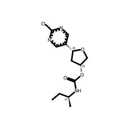 CC[C@H](C)NC(=O)O[C@H]1CO[C@@H](c2cnc(Cl)nc2)C1